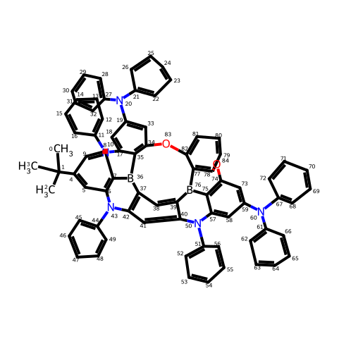 CC(C)(C)c1cc2c3c(c1)N(c1ccccc1)c1cc(N(c4ccccc4)c4ccccc4)cc4c1B3c1cc3c(cc1N2c1ccccc1)N(c1ccccc1)c1cc(N(c2ccccc2)c2ccccc2)cc2c1B3c1c(cccc1O4)O2